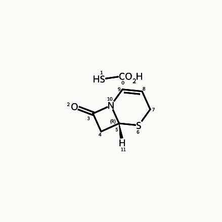 O=C(O)S.O=C1C[C@H]2SCC=CN12